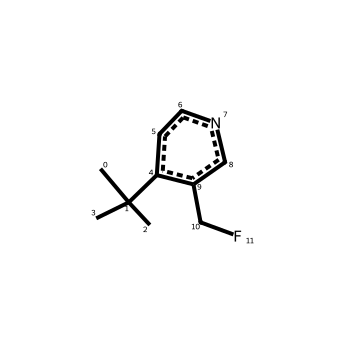 CC(C)(C)c1ccncc1CF